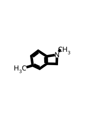 Cc1ccc2c(c1)CN2C